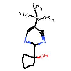 [CH3][Sn]([CH3])([CH3])[c]1cnc(C2(O)CCC2)nc1